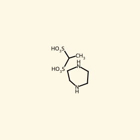 C1CNCCN1.CC(S(=O)(=O)O)S(=O)(=O)O